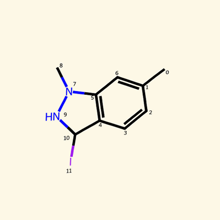 Cc1ccc2c(c1)N(C)NC2I